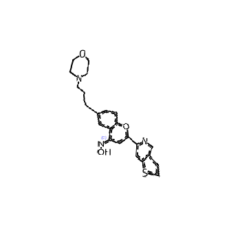 O/N=c1\cc(-c2cc3sccc3cn2)oc2ccc(CCCN3CCOCC3)cc12